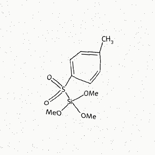 CO[Si](OC)(OC)S(=O)(=O)c1ccc(C)cc1